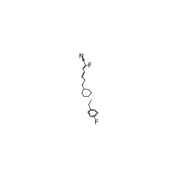 N#CC(F)=CC=CCC[C@H]1CC[C@H](CCc2ccc(F)cc2)CC1